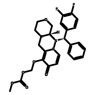 COC(=O)OCOc1c2n(ccc1=O)N([C@@H](c1ccccc1)c1ccc(F)c(F)c1)[C@@H]1COCCN1C2